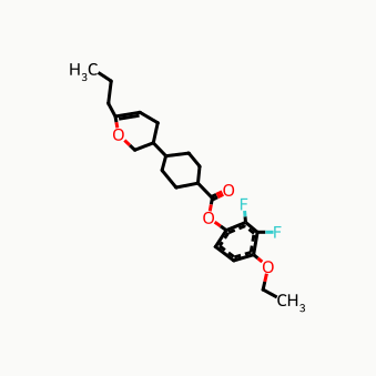 CCCC1=CCC(C2CCC(C(=O)Oc3ccc(OCC)c(F)c3F)CC2)CO1